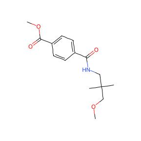 COCC(C)(C)CNC(=O)c1ccc(C(=O)OC)cc1